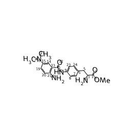 COC(=O)[C@@H](N)Cc1ccc(NC(=O)c2cc(N(C)C)ccc2N)cc1